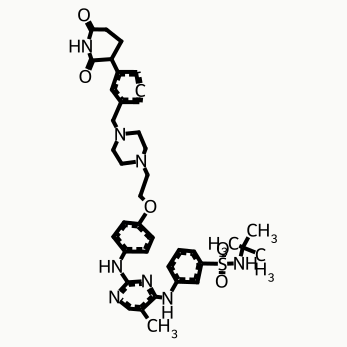 Cc1cnc(Nc2ccc(OCCN3CCN(Cc4cccc(C5CCC(=O)NC5=O)c4)CC3)cc2)nc1Nc1cccc(S(=O)(=O)NC(C)(C)C)c1